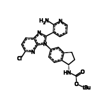 CC(C)(C)OC(=O)N[C@H]1CCc2cc(-n3c(-c4cccnc4N)nc4ccc(Cl)nc43)ccc21